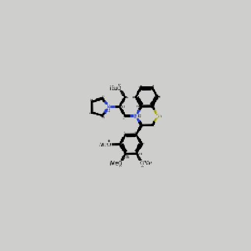 COc1cc(C2CSc3ccccc3N2CC(COCC(C)C)N2CCCC2)cc(OC)c1OC